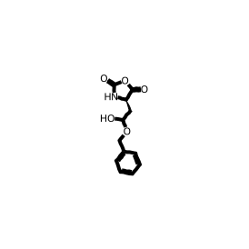 O=C1N[C@H](CC(O)OCc2ccccc2)C(=O)O1